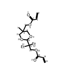 C=CC(=O)OCC1(C)COC(C(CC)(CC)COC(=O)C=C)OC1